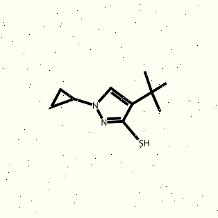 CC(C)(C)c1cn(C2CC2)nc1S